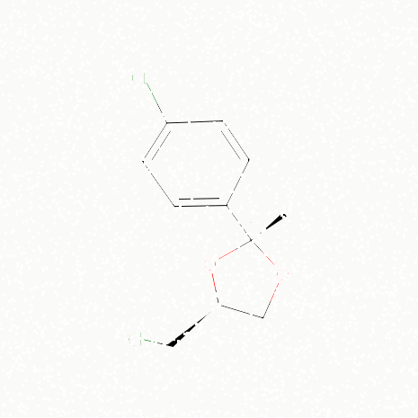 C[C@@]1(c2ccc(Cl)cc2)OC[C@@H](CCl)O1